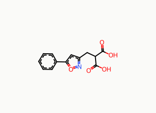 O=C(O)C(Cc1cc(-c2ccccc2)on1)C(=O)O